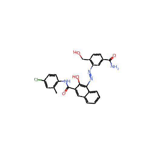 Cc1cc(Cl)ccc1NC(=O)c1cc2ccccc2c(/N=N/c2cc(C(N)=O)ccc2CO)c1O